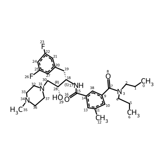 CCCN(CCC)C(=O)c1cc(C)cc(C(=O)N[C@@H](Cc2cc(F)cc(F)c2)[C@H](O)CN2CCN(C)CC2)c1